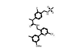 COc1cc(C)cc(-c2nc(C(F)(F)F)ccc2CNC(=O)C(C)c2ccc(CNS(C)(=O)=O)c(F)c2)c1